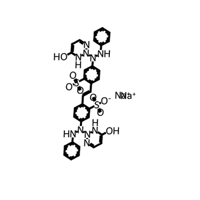 O=S(=O)([O-])c1cc(N(Nc2ccccc2)N2N=CC=C(O)N2)ccc1/C=C/c1ccc(N(Nc2ccccc2)N2N=CC=C(O)N2)cc1S(=O)(=O)[O-].[Na+].[Na+]